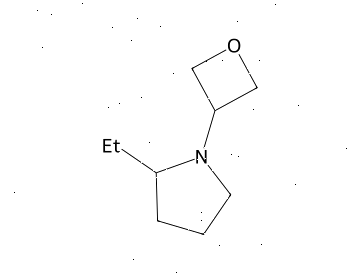 CCC1CCCN1C1COC1